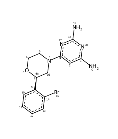 Nc1cc(N2CCO[C@H](c3ccccc3Br)C2)nc(N)n1